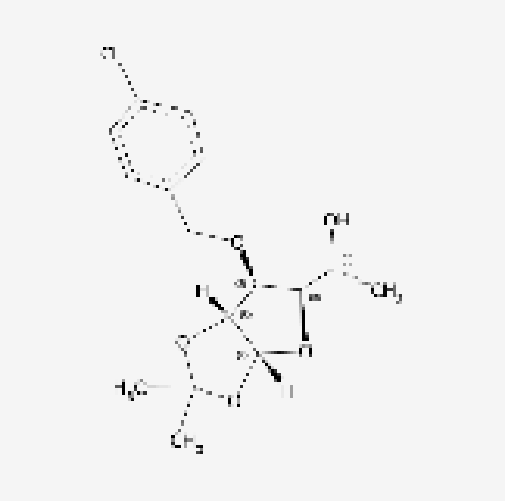 C[C@@H](O)[C@H]1O[C@@H]2OC(C)(C)O[C@@H]2[C@H]1OCc1ccc(Cl)cc1